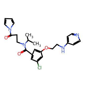 CC(C)N(CCC(=O)n1cccc1)C(=O)c1cc(Cl)cc(OCCNc2ccncc2)c1